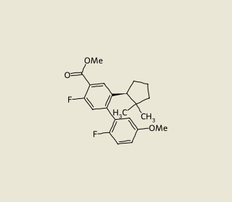 COC(=O)c1cc([C@H]2CCCC2(C)C)c(-c2cc(OC)ccc2F)cc1F